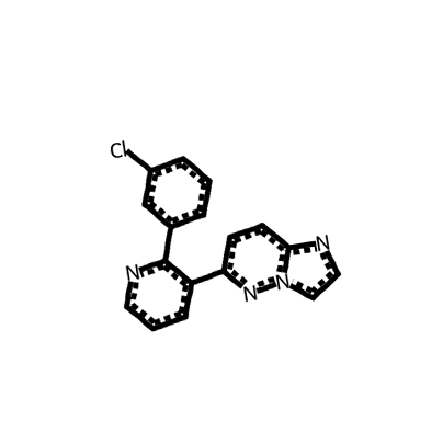 Clc1cccc(-c2ncccc2-c2ccc3nccn3n2)c1